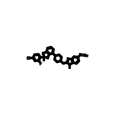 CC(=O)Nc1ccc2c(c1)nc(CN1CCC(c3cccc4c3OC(C)(c3ccc(Cl)cc3F)O4)CC1)n2C